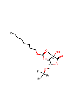 CCCCCCCCCCCCCCCCOC(=O)O[C@@H]1[C@@H](CO[Si](C(C)C)(C(C)C)C(C)C)OC(=O)[C@@]1(C)O